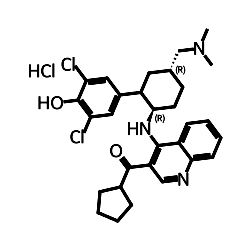 CN(C)C[C@@H]1CC[C@@H](Nc2c(C(=O)C3CCCC3)cnc3ccccc23)C(c2cc(Cl)c(O)c(Cl)c2)C1.Cl